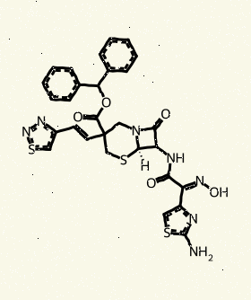 Nc1nc(C(=NO)C(=O)NC2C(=O)N3CC(C=Cc4csnn4)(C(=O)OC(c4ccccc4)c4ccccc4)CS[C@H]23)cs1